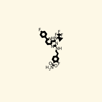 NS(=O)(=O)c1ccc(CCNc2nc(NC3(C(F)(F)F)CC3)c3nc(-c4ccc(F)cc4)ccc3n2)cc1F